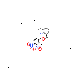 CC(C)c1cccc(C(C)C)c1N(C)C(=O)c1ccc([N+](=O)[O-])c([N+](=O)[O-])c1